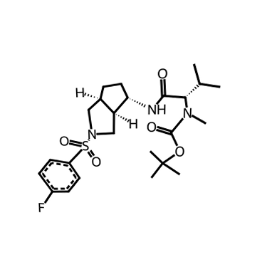 CC(C)[C@@H](C(=O)N[C@H]1CC[C@@H]2CN(S(=O)(=O)c3ccc(F)cc3)C[C@@H]21)N(C)C(=O)OC(C)(C)C